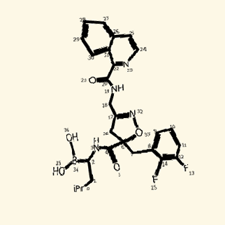 CC(C)CC(NC(=O)C1(Cc2cccc(F)c2F)CC(CNC(=O)c2nccc3ccccc23)=NO1)B(O)O